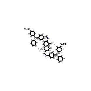 COc1ccc(N(c2ccccc2)c2ccc(/C=C\c3ccc4c(C(F)(F)F)c(/C=C\c5ccc(N(c6ccccc6)c6ccc(CO)cc6)cc5)ccc4c3C(F)(F)F)cc2)cc1